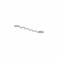 [CH2]NCCCCCCCCCCCCCCC